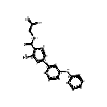 O=C(O)CNC(=O)c1ncc(-c2cccc(Oc3ccccc3)c2)cc1O